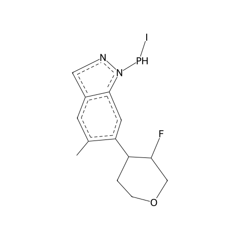 Cc1cc2cnn(PI)c2cc1C1CCOCC1F